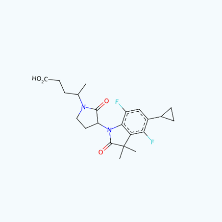 CC(CCC(=O)O)N1CCC(N2C(=O)C(C)(C)c3c(F)c(C4CC4)cc(F)c32)C1=O